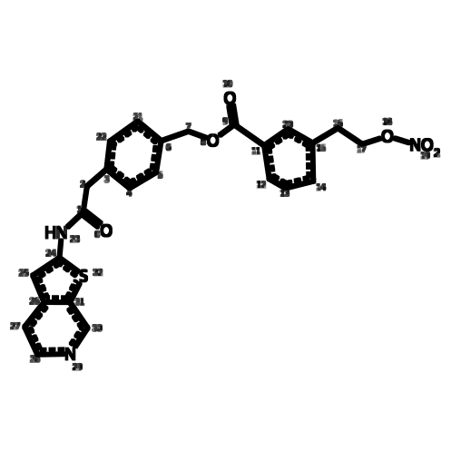 O=C(Cc1ccc(COC(=O)c2cccc(CCO[N+](=O)[O-])c2)cc1)Nc1cc2ccncc2s1